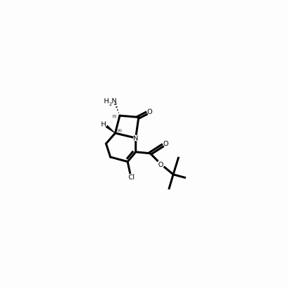 CC(C)(C)OC(=O)C1=C(Cl)CC[C@@H]2[C@H](N)C(=O)N12